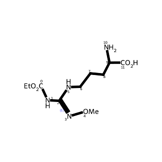 CCOC(=O)N/C(=N/OC)NCCCC(N)C(=O)O